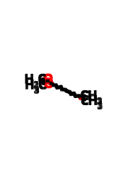 C=C(C)C(=O)OCCCCCCCCCCCCCCC(C)C